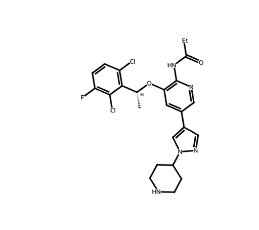 CCC(=O)Nc1ncc(-c2cnn(C3CCNCC3)c2)cc1O[C@H](C)c1c(Cl)ccc(F)c1Cl